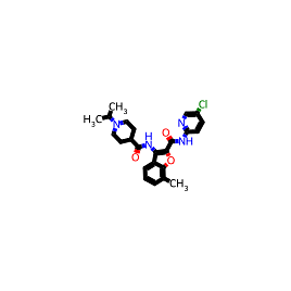 Cc1cccc2c(NC(=O)C3CCN(C(C)C)CC3)c(C(=O)Nc3ccc(Cl)cn3)oc12